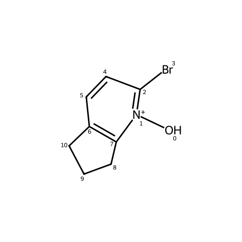 O[n+]1c(Br)ccc2c1CCC2